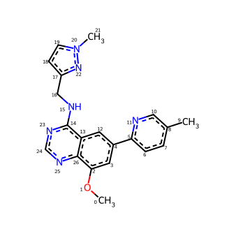 COc1cc(-c2ccc(C)cn2)cc2c(NCc3ccn(C)n3)ncnc12